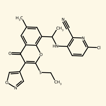 CCSc1oc2c(C(C)Nc3ccc(Cl)nc3C#N)cc(C)cc2c(=O)c1-c1cnoc1